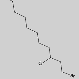 CCCCCCCCC(Cl)CCBr